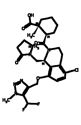 C[C@H]1CCC(=O)N1C[C@@H]1c2c(OCc3nnn(C)c3C(F)F)ccc(Cl)c2CCN1C(=O)[C@@H]1CCCC[C@]1(C)C(=O)O